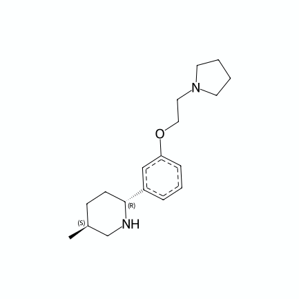 C[C@H]1CC[C@H](c2cccc(OCCN3CCCC3)c2)NC1